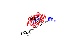 CCC[N+](CCC)(C(P(=O)(O)O)P(=O)(O)O)C(P(=O)(O)O)P(=O)(O)O.NCCCCCCCCCCC(=O)O